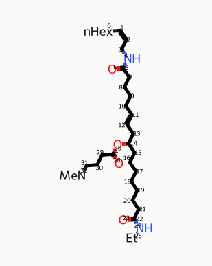 CCCCCC/C=C\CNC(=O)CCCC/C=C/CC(CCCCCCCC(=O)NCC)OC(=O)CCCNC